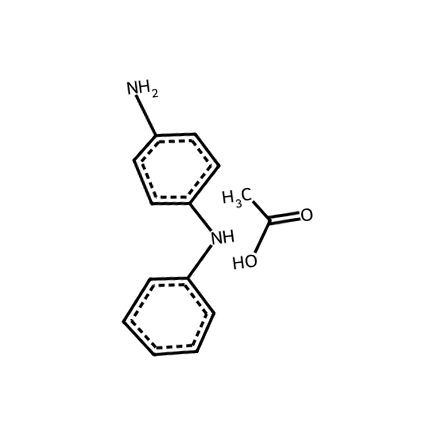 CC(=O)O.Nc1ccc(Nc2ccccc2)cc1